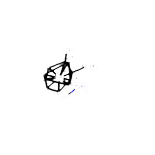 CCN.C[C]12[CH]3[CH]4[CH]5[C]1(C)[Fe]43521678[CH]2[CH]1[CH]6[CH]7[CH]28